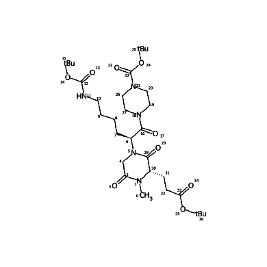 CN1C(=O)CN([C@@H](CCCCNC(=O)OC(C)(C)C)C(=O)N2CCN(C(=O)OC(C)(C)C)CC2)C(=O)[C@@H]1CCC(=O)OC(C)(C)C